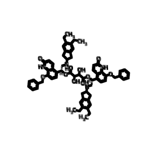 CCc1cc2c(cc1CC)CC(NC[C@H](OC(=O)C(O)C(O)C(=O)O[C@@H](CNC1Cc3cc(CC)c(CC)cc3C1)c1ccc(OCc3ccccc3)c3[nH]c(=O)ccc13)c1ccc(OCc3ccccc3)c3[nH]c(=O)ccc13)C2